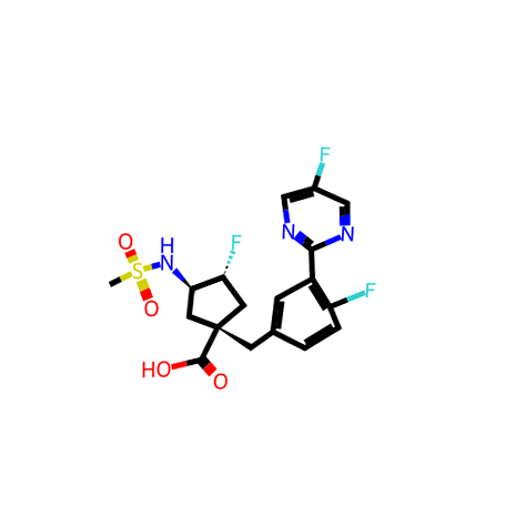 CS(=O)(=O)N[C@@H]1C[C@@](Cc2ccc(F)c(-c3ncc(F)cn3)c2)(C(=O)O)C[C@H]1F